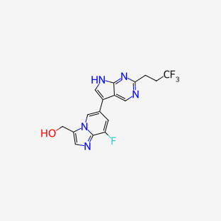 OCc1cnc2c(F)cc(-c3c[nH]c4nc(CCC(F)(F)F)ncc34)cn12